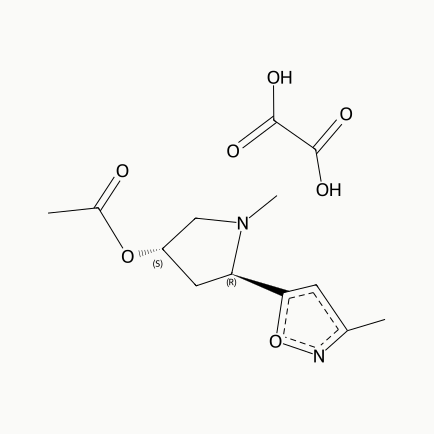 CC(=O)O[C@H]1C[C@H](c2cc(C)no2)N(C)C1.O=C(O)C(=O)O